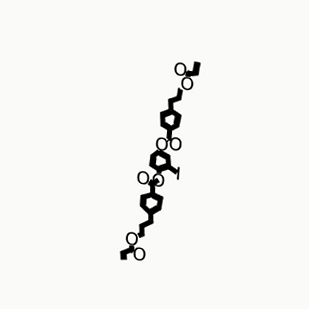 C=CC(=O)OCCCc1ccc(C(=O)Oc2ccc(OC(=O)c3ccc(CCCOC(=O)C=C)cc3)c(I)c2)cc1